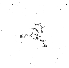 CC/C=C/C[Si](O)(C/C=C/CC)c1ccccc1